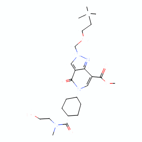 COC(=O)c1cn([C@H]2CC[C@@H](C(=O)N(C)CCO)CC2)c(=O)c2cn(COCC[Si](C)(C)C)nc12